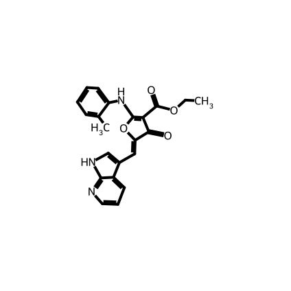 CCOC(=O)C1=C(Nc2ccccc2C)O/C(=C\c2c[nH]c3ncccc23)C1=O